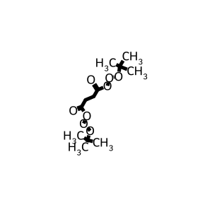 CC(C)(C)OOOC(=O)CCC(=O)OOOC(C)(C)C